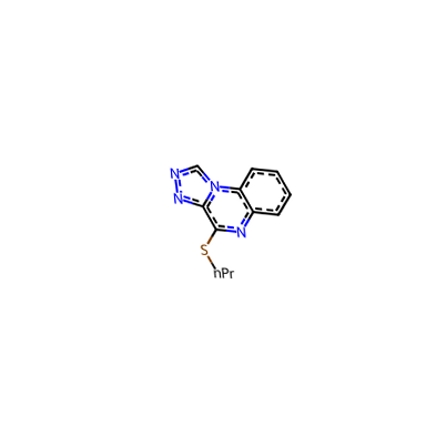 CCCSc1nc2ccccc2n2cnnc12